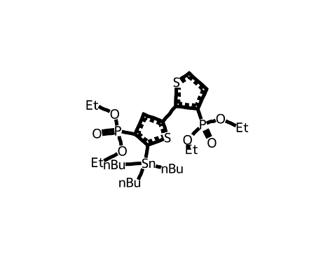 CCC[CH2][Sn]([CH2]CCC)([CH2]CCC)[c]1sc(-c2sccc2P(=O)(OCC)OCC)cc1P(=O)(OCC)OCC